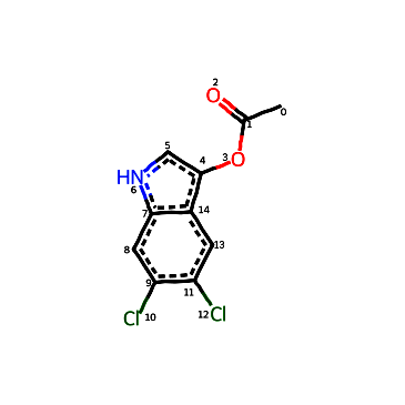 CC(=O)Oc1c[nH]c2cc(Cl)c(Cl)cc12